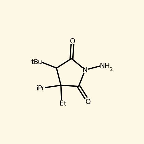 CCC1(C(C)C)C(=O)N(N)C(=O)C1C(C)(C)C